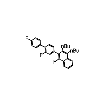 CCCCc1c(-c2ccc(-c3ccc(F)cc3)c(F)c2)c(F)c2ccccc2c1CCCC